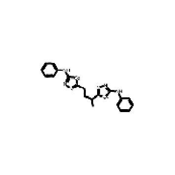 CC(CCc1nnc(Nc2ccccc2)[se]1)c1nnc(Nc2ccccc2)[se]1